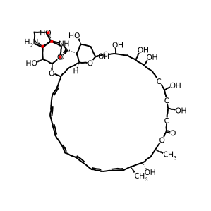 C[C@H]1C[C@H](O)[C@@H](C)/C=C/C=C/C=C/C=C/C=C/C=C/C=C/C(O[C@@H]2OC[C@@H](O)[C@H](N)[C@@H]2O)C[C@@H]2OC(O)(CC(O)CC(O)C(O)CCC(O)CC(O)CC(=O)O1)C[C@H](O)[C@H]2C(=O)NC1CCCC1